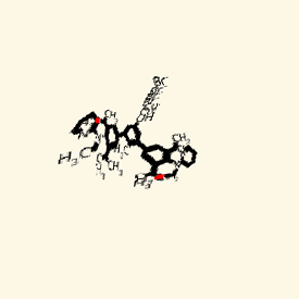 CC=[N+](c1ccccn1)c1c(C(C)C)cc(-c2cc(O)cc(-c3cc(C(C)C)c([N+](=CC)c4ccccn4)c(C(C)C)c3)c2C)cc1C(C)C.[Br-].[Br-].[Br-].[Br-].[Cu].[Cu]